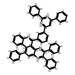 c1ccc(-c2cc(-c3cccc(-c4nc5ccccc5c5c(-c6ccccc6)cc6nc(-c7ccccc7)c(-c7ccccc7)nc6c45)c3)nc(-c3ccccc3)n2)cc1